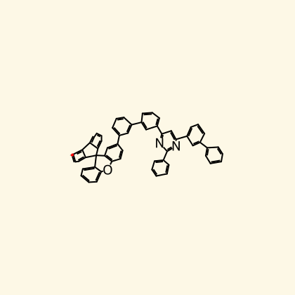 c1ccc(-c2cccc(-c3cc(-c4cccc(-c5cccc(-c6ccc7c(c6)C6(c8ccccc8O7)c7ccccc7-c7ccccc76)c5)c4)nc(-c4ccccc4)n3)c2)cc1